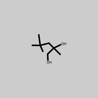 CC(C)(C)CC(C)(O)CO